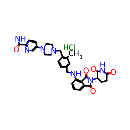 Cc1cc(CNc2cccc3c2C(=O)N(C2CCC(=O)NC2=O)C3=O)ccc1CN1CCN(c2ccc(C(N)=O)nc2)CC1.Cl